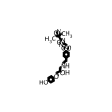 Cc1noc(C)c1-c1nc(CS(=O)(=O)c2ccc(CCNC[C@H](O)COc3ccc(O)cc3)cc2)no1